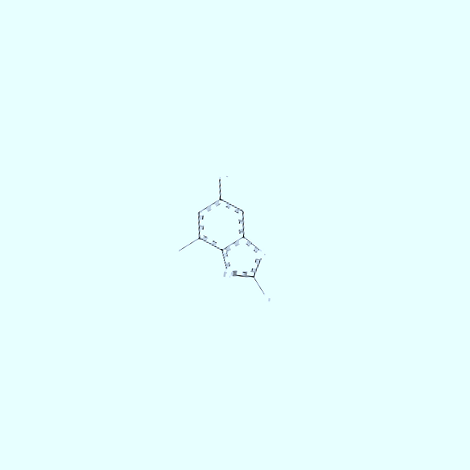 CCCc1nc2cc(C(C)(C)C)cc(C)c2[nH]1